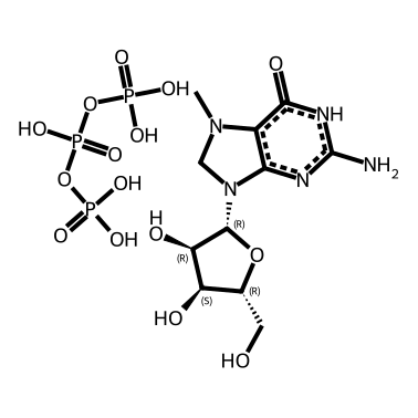 CN1CN([C@@H]2O[C@H](CO)[C@@H](O)[C@H]2O)c2nc(N)[nH]c(=O)c21.O=P(O)(O)OP(=O)(O)OP(=O)(O)O